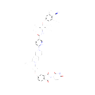 Cc1cc(OC2C(C)(C)C(NC(=O)c3ccc(N4CCC(CN(C(C)C)C5CC(Oc6ccc7c(c6)C(=O)N(C6CCC(=O)NC6=O)C7=O)C5)CC4)nc3)C2(C)C)cc(C)c1C#N